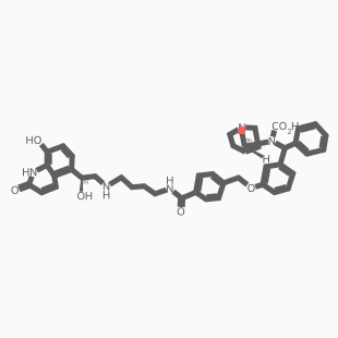 O=C(NCCCCNC[C@@H](O)c1ccc(O)c2[nH]c(=O)ccc12)c1ccc(COc2cccc(C(c3ccccc3)N(C(=O)O)[C@H]3CN4CCC3CC4)c2)cc1